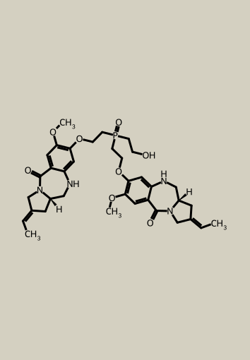 C/C=C1\C[C@H]2CNc3cc(OCCP(=O)(CCO)CCOc4cc5c(cc4OC)C(=O)N4C/C(=C/C)C[C@H]4CN5)c(OC)cc3C(=O)N2C1